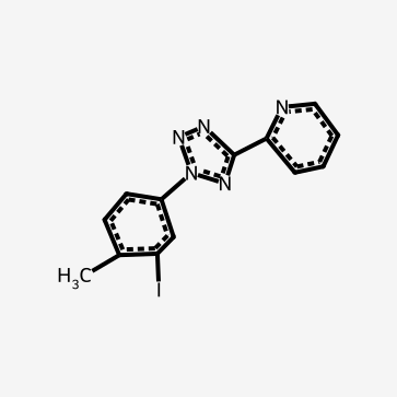 Cc1ccc(-n2nnc(-c3ccccn3)n2)cc1I